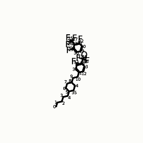 CCCCCC1CCC(CCc2ccc(C(F)(F)Oc3cc(F)c(C(F)(F)F)c(F)c3)c(F)c2)CC1